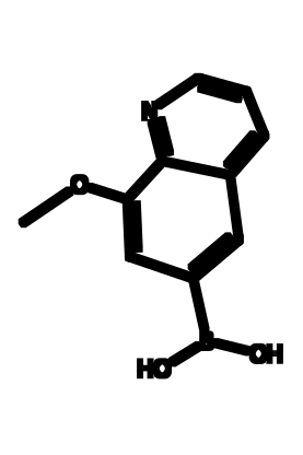 COc1cc(B(O)O)cc2cccnc12